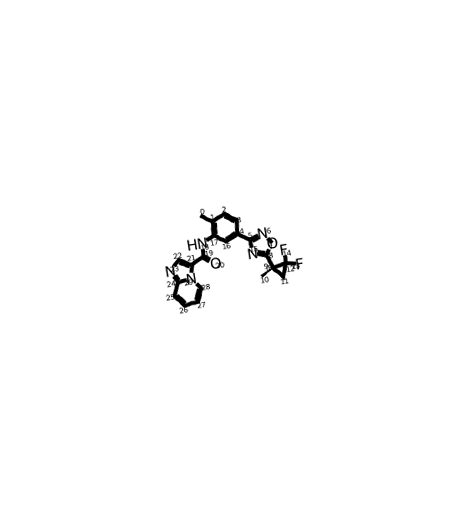 Cc1ccc(-c2noc([C@@]3(C)CC3(F)F)n2)cc1NC(=O)c1cnc2ccccn12